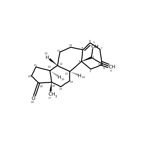 C#CC(O)[C@]12CCCC=C1CC[C@@H]1[C@@H]2CC[C@]2(C)C(=O)CC[C@@H]12